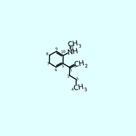 C=C(CCC)C1=CCCC=C1NC